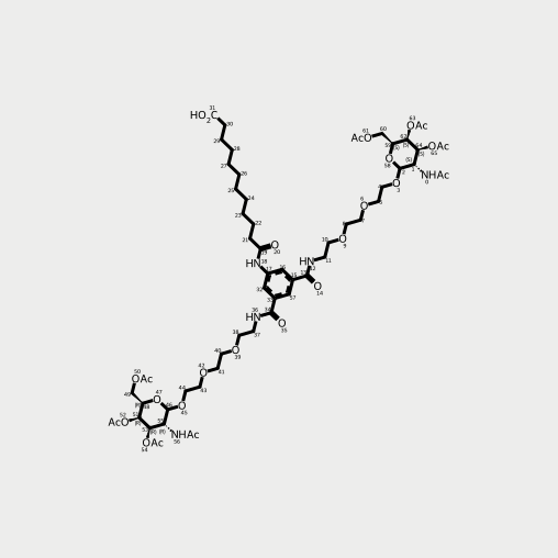 CC(=O)N[C@@H]1C(OCCOCCOCCNC(=O)c2cc(NC(=O)CCCCCCCCCCC(=O)O)cc(C(=O)NCCOCCOCCOC3O[C@H](COC(C)=O)[C@H](OC(C)=O)[C@H](OC(C)=O)[C@H]3NC(C)=O)c2)O[C@@H](COC(C)=O)[C@@H](OC(C)=O)[C@H]1OC(C)=O